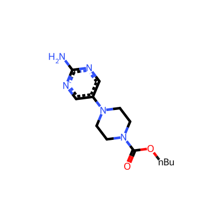 CCCCOC(=O)N1CCN(c2cnc(N)nc2)CC1